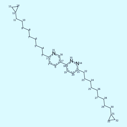 c1cc(CCCCCCCCCC2CC2)ncc1-c1ccc(CCCCCCCCCC2CC2)nn1